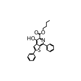 CCCCOC(=O)c1nc(-c2ccccc2)c2sc(-c3ccccc3)cc2c1O